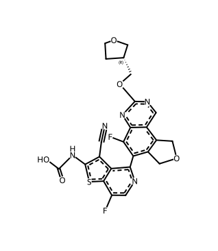 N#Cc1c(NC(=O)O)sc2c(F)cnc(-c3c4c(c5cnc(OC[C@@H]6CCOC6)nc5c3F)COC4)c12